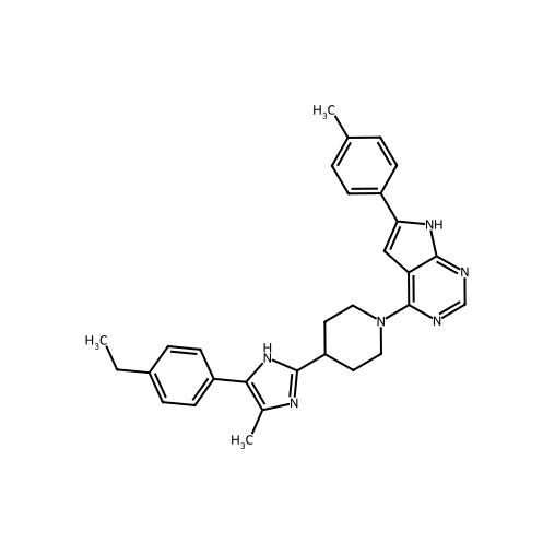 CCc1ccc(-c2[nH]c(C3CCN(c4ncnc5[nH]c(-c6ccc(C)cc6)cc45)CC3)nc2C)cc1